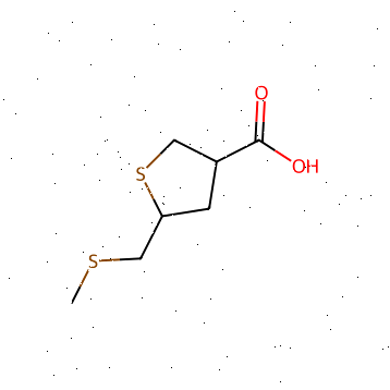 CSCC1CC(C(=O)O)CS1